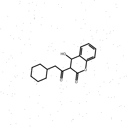 O=C(CC1CCCCC1)C1C(=O)Oc2ccccc2C1O